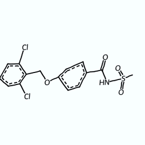 CS(=O)(=O)NC(=O)c1ccc(OCc2c(Cl)cccc2Cl)cc1